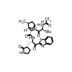 C[C@H]1C[C@@H]2C[C@H]1[C@@H](C(=O)N[C@@H](C[C@@H]1CCNC1=O)C(=O)c1nc3ccccc3s1)N2C(=O)[C@@H](NC(=O)C(F)(F)F)C(C)(C)C